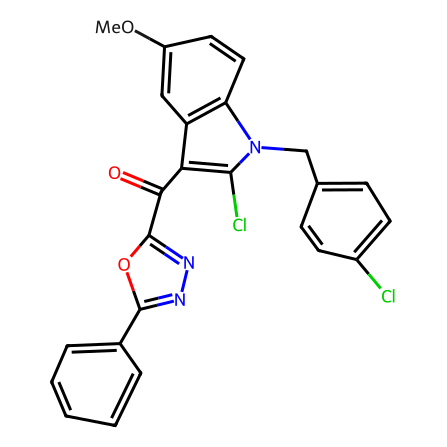 COc1ccc2c(c1)c(C(=O)c1nnc(-c3ccccc3)o1)c(Cl)n2Cc1ccc(Cl)cc1